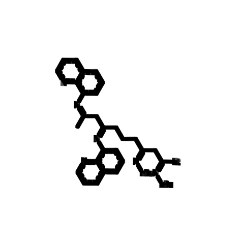 CCCCN=C(CC)CC(CCCC(CC(C)=Nc1cccc2cccnc12)=Nc1cccc2cccnc12)=NCCCC